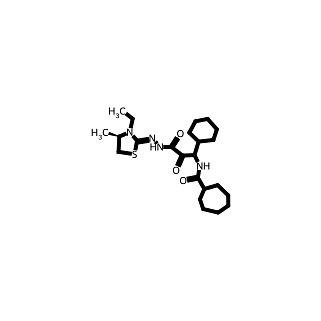 CCN1/C(=N/NC(=O)C(=O)C(NC(=O)C2CCCCCC2)C2CCCCC2)SC[C@H]1C